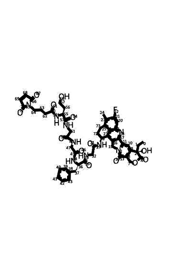 CC[C@@]1(O)C(=O)OCc2c1cc1n(c2=O)Cc2c-1nc1cc(F)c(C)c3c1c2[C@@H](NC(=O)CNC(=O)[C@H](Cc1ccccc1)NC(=O)CNC(=O)CNC(=O)[C@H](CCO)NC(=O)CCCN1C(=O)C=CC1=O)CC3